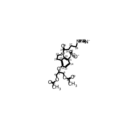 CC(=O)OCC(COC(C)=O)Oc1ccc([N+](=O)[O-])c2c1CCN2C(=O)CCCN=[N+]=[N-]